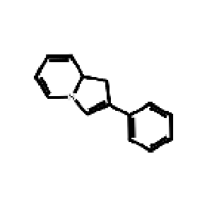 C1=CC2CC(c3ccccc3)=CN2C=C1